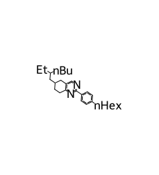 CCCCCCc1ccc(-c2ncc3c(n2)CCC(CC(CC)CCCC)C3)cc1